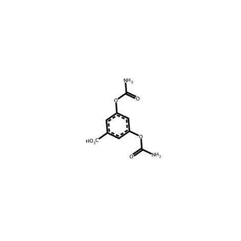 NC(=O)Oc1cc(OC(N)=O)cc(C(=O)O)c1